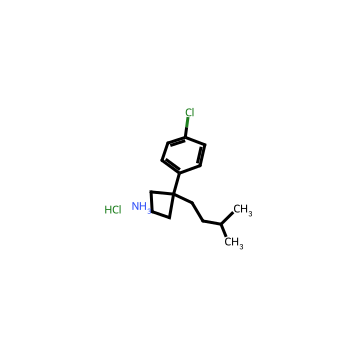 CC(C)CCC1(c2ccc(Cl)cc2)CCC1.Cl.N